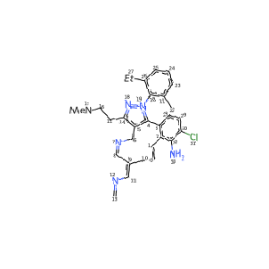 C=Cc1c(-c2c(C/N=C\C(C)=C/N=C)c(CCNC)nn2-c2c(C)cccc2CC)ccc(Cl)c1N